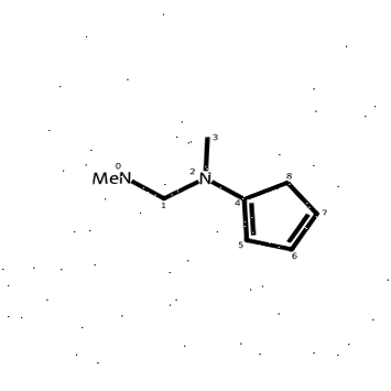 CNCN(C)C1=CC=CC1